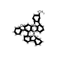 Cc1ccc2c(c1)c1cccc3c1n2-c1cc2oc4ccccc4c2c2c1B3n1c3ccccc3c3cccc-2c31